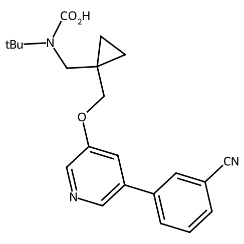 CC(C)(C)N(CC1(COc2cncc(-c3cccc(C#N)c3)c2)CC1)C(=O)O